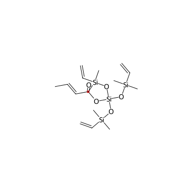 C=C[Si](C)(C)O[Si](OC(=O)C=CC)(O[Si](C)(C)C=C)O[Si](C)(C)C=C